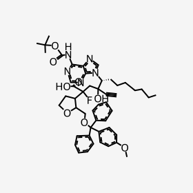 C#CC(O)(CC(F)(C(=O)O)C1CCOC1COC(c1ccccc1)(c1ccccc1)c1ccc(OC)cc1)[C@@H](CCCCCCC)n1cnc2c(NC(=O)OC(C)(C)C)ncnc21